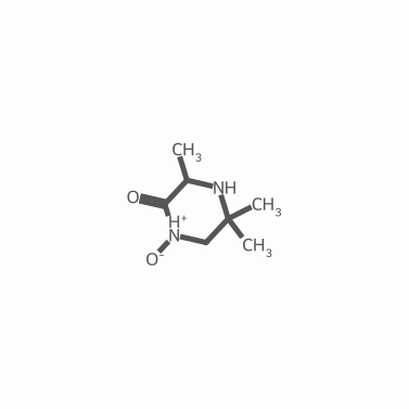 CC1NC(C)(C)C[NH+]([O-])C1=O